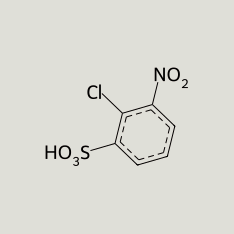 O=[N+]([O-])c1cccc(S(=O)(=O)O)c1Cl